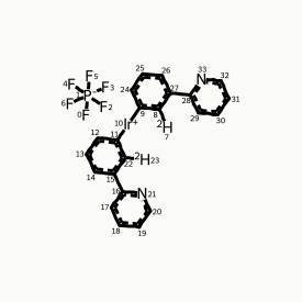 F[P-](F)(F)(F)(F)F.[2H]c1[c]([Ir+][c]2cccc(-c3ccccn3)c2[2H])cccc1-c1ccccn1